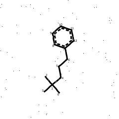 CC(C)(C)[CH]CCc1ccccc1